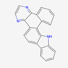 c1ccc2c(c1)[nH]c1c2ccc2c3nccnc3c3ccccc3c21